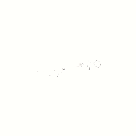 C[C@]12CC[C@H](O)C[C@H]1CC[C@@H]1[C@@H]2CC[C@]2(C)[C@@H](CC/C=N/NC(=N)Nc3ccccc3)CC[C@]12O